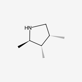 C[C@H]1[C@@H](C)CN[C@@H]1C